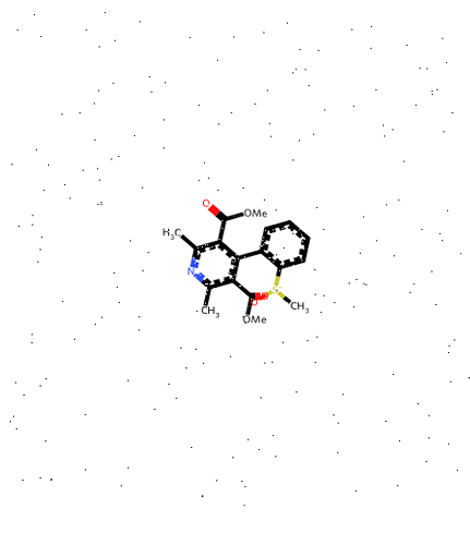 COC(=O)c1c(C)nc(C)c(C(=O)OC)c1-c1ccccc1[S+](C)[O-]